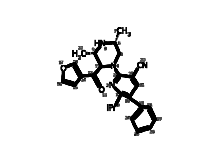 CC(C)c1nc(N2C[C@@H](C)N[C@@H](C)C2C(=O)c2ccoc2)c(C#N)cc1-c1ccccc1